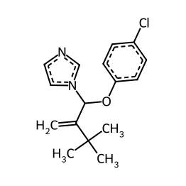 C=C(C(Oc1ccc(Cl)cc1)n1ccnc1)C(C)(C)C